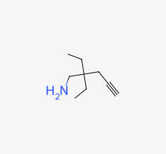 C#CCC(CC)(CC)CN